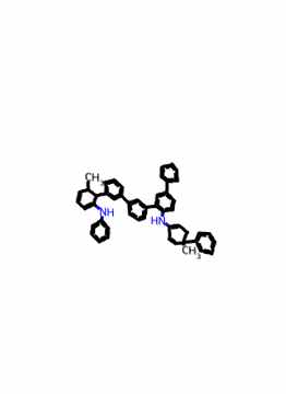 CC1C=CC=C(Nc2ccccc2)C1c1cccc(-c2cccc(-c3cc(-c4ccccc4)ccc3NC3=CCC(C)(c4ccccc4)C=C3)c2)c1